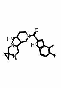 Cc1c(F)ccc2[nH]c(C(=O)N3CCC4NN5CC6(CC6)N(C)CC5C4C3)cc12